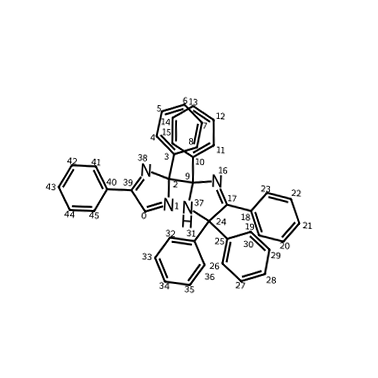 C1=NC(c2ccccc2)(C2(c3ccccc3)N=C(c3ccccc3)C(c3ccccc3)(c3ccccc3)N2)N=C1c1ccccc1